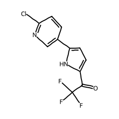 O=C(c1ccc(-c2ccc(Cl)nc2)[nH]1)C(F)(F)F